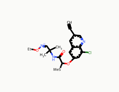 C#Cc1cnc2c(Cl)cc(OC(SC)C(=O)NC(C)(C)/C=N\OCC)cc2c1